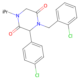 CC(C)N1CC(=O)N(Cc2ccccc2Cl)C(c2ccc(Cl)cc2)C1=O